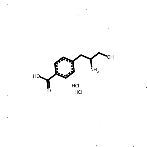 Cl.Cl.NC(CO)Cc1ccc(C(=O)O)cc1